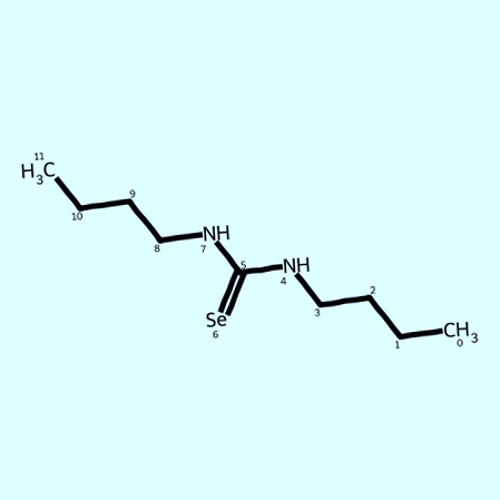 CCCCNC(=[Se])NCCCC